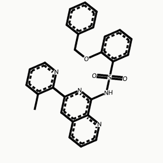 Cc1cccnc1-c1cc2cccnc2c(NS(=O)(=O)c2ccccc2OCc2ccccc2)n1